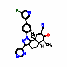 C[C@H]1C(=O)C(C#N)=C[C@@]2(C)c3c(c(-c4ccncn4)nn3-c3ccc(-c4cncc(F)c4)cc3)CC[C@H]12